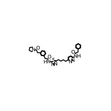 O=C(Cc1ccccc1)Nc1ccc(CCCCc2nnc(NC(=O)Cc3cccc(CC(=O)N4CCCC4)c3)s2)nn1